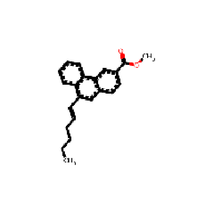 CCCC/C=C/c1cc2ccc(C(=O)OC)cc2c2ccccc12